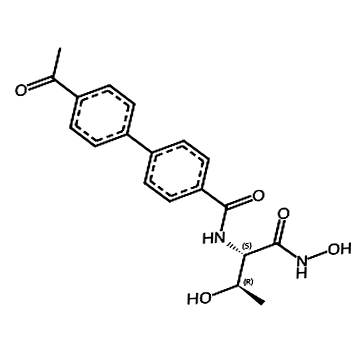 CC(=O)c1ccc(-c2ccc(C(=O)N[C@H](C(=O)NO)[C@@H](C)O)cc2)cc1